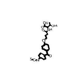 CC(O)C(NC(=O)CCCOc1ccc(C(=O)c2ccc(N=C=S)cc2)cc1)C(=O)O